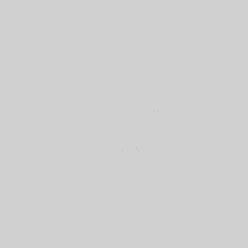 CCCOc1cnn[c]c1-c1ccccc1